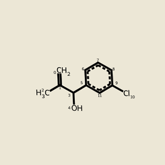 C=C(C)C(O)c1cccc(Cl)c1